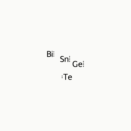 [Bi].[Ge].[Sn].[Te]